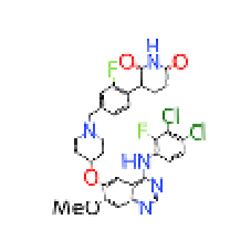 COc1cc2ncnc(Nc3ccc(Cl)c(Cl)c3F)c2cc1OC1CCN(Cc2ccc(C3CCC(=O)NC3=O)c(F)c2)CC1